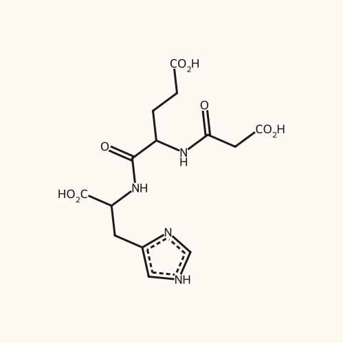 O=C(O)CCC(NC(=O)CC(=O)O)C(=O)NC(Cc1c[nH]cn1)C(=O)O